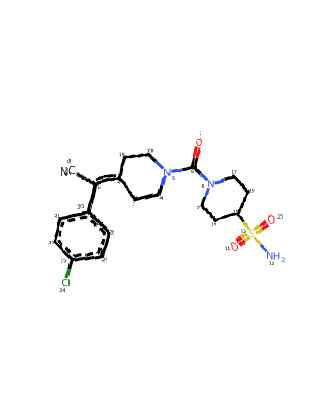 N#CC(=C1CCN(C(=O)N2CCC(S(N)(=O)=O)CC2)CC1)c1ccc(Cl)cc1